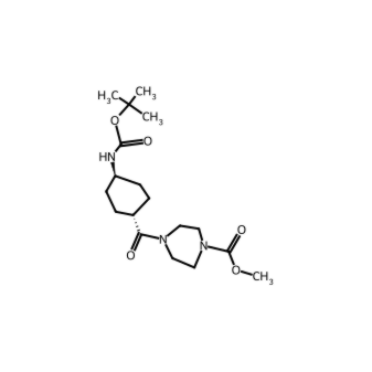 COC(=O)N1CCN(C(=O)[C@H]2CC[C@H](NC(=O)OC(C)(C)C)CC2)CC1